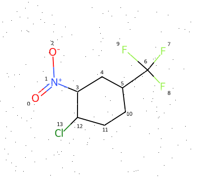 O=[N+]([O-])C1CC(C(F)(F)F)CCC1Cl